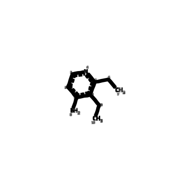 Bc1ccnc(CC)c1CC